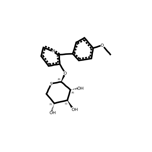 COc1ccc(-c2ncccc2O[C@@H]2SC[C@@H](O)[C@H](O)[C@H]2O)cc1